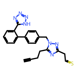 C#CCCc1nc(CC=S)nn1Cc1ccc(-c2ccccc2-c2nnn[nH]2)cc1